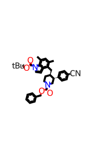 Cc1cc(C)c2c(ccn2C(=O)OC(C)(C)C)c1C[C@@H]1CCN(C(=O)OCc2ccccc2)C[C@H]1c1ccc(C#N)cc1